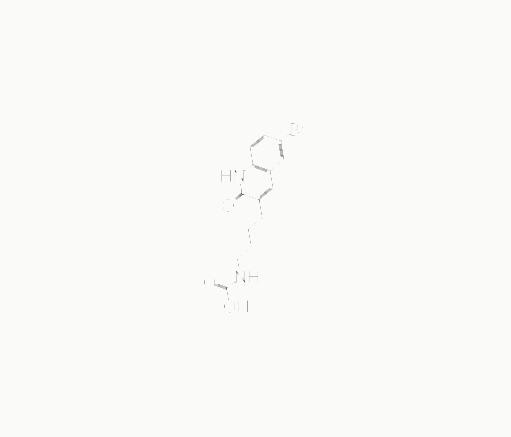 O=C(O)NCCCCc1cc2cc(Br)ccc2[nH]c1=O